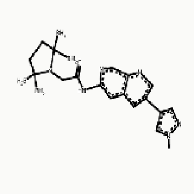 BC1(B)CCC(B)(B)N1CC(=O)Nc1cc2cc(-c3cnn(C)c3)cnc2cn1